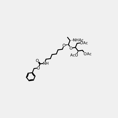 CC(=O)N[C@@H](C)[C@H](OCCCCCCNC(=O)OCc1ccccc1)OC(COC(C)=O)[C@@H](COC(C)=O)OC(C)=O